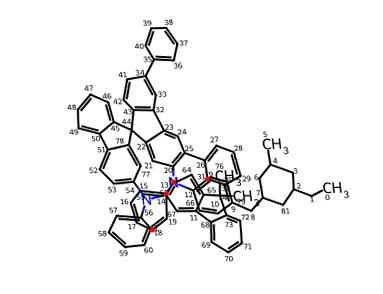 CCC1CC(C)CC(Cc2ccc(N(c3ccccc3)c3cc4c(cc3-c3ccccc3)-c3cc(-c5ccccc5)ccc3C43c4ccccc4-c4ccc(N(c5ccccc5)c5ccc6c(c5)-c5ccccc5C6(C)C)cc43)cc2)C1